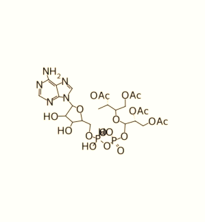 CC(=O)OCC(OC(OP(=O)(O)OP(=O)(O)OCC1OC(n2cnc3c(N)ncnc32)C(O)C1O)[C@@H](COC(C)=O)OC(C)=O)[C@H](C)OC(C)=O